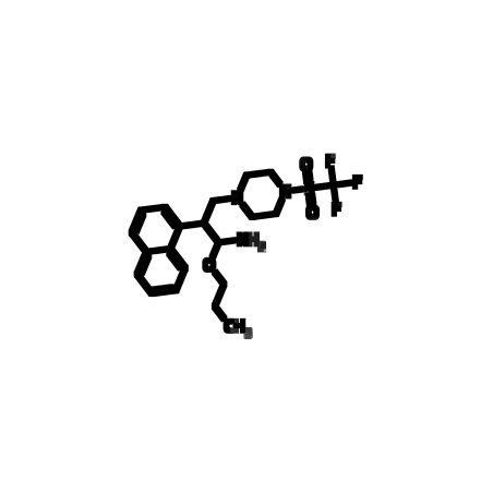 CCCOC(N)C(CN1CCN(S(=O)(=O)C(F)(F)F)CC1)c1cccc2ccccc12